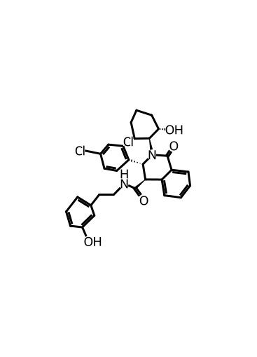 O=C(NCCc1cccc(O)c1)[C@@H]1c2ccccc2C(=O)N([C@H]2CCCC[C@@H]2O)[C@H]1c1ccc(Cl)cc1Cl